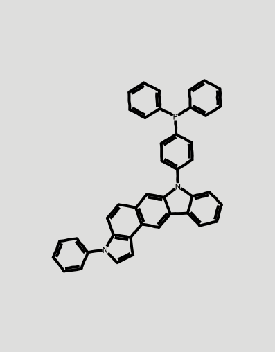 c1ccc(-n2ccc3c4cc5c6ccccc6n(-c6ccc(P(c7ccccc7)c7ccccc7)cc6)c5cc4ccc32)cc1